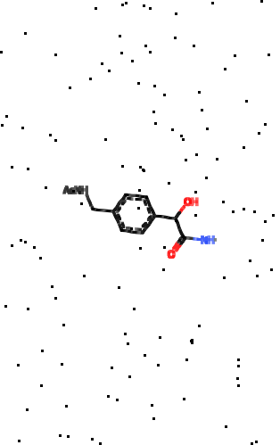 CC(=O)NCc1ccc(C(O)C([NH])=O)cc1